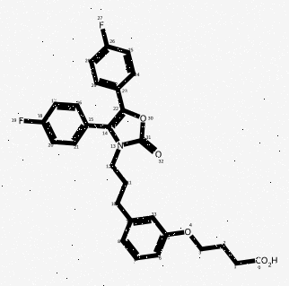 O=C(O)CCCOc1cccc(CCCn2c(-c3ccc(F)cc3)c(-c3ccc(F)cc3)oc2=O)c1